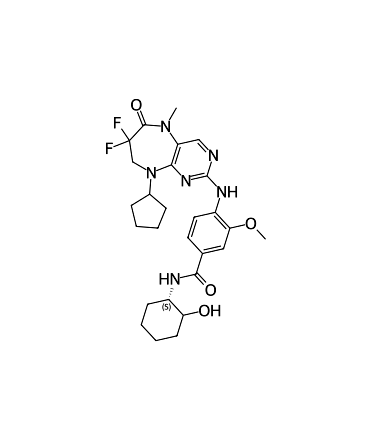 COc1cc(C(=O)N[C@H]2CCCCC2O)ccc1Nc1ncc2c(n1)N(C1CCCC1)CC(F)(F)C(=O)N2C